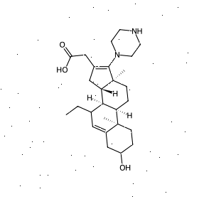 CCC1C=C2CC(O)CC[C@]2(C)[C@@H]2CC[C@]3(C)C(N4CCNCC4)=C(CC(=O)O)C[C@H]3[C@H]12